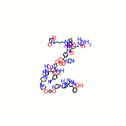 CC(C)C(C(=O)N1C[C@H](OC(=O)OC(C(=O)N2CCN(C)CC2)c2ccc(NC(=O)C(CCCNC(N)=O)NC(=O)C3(C(=O)NCCCCCN4C(=O)C=CC4=O)CCC3)cc2)CC1C(=O)N[C@@H](C)c1ccc(C#N)cc1)c1cc(N2CCC(CN3CCC(O[C@H]4C[C@H](Oc5cc(N6CC7CCCC6CN7c6cc(-c7ccccc7O)nnc6N)ccn5)C4)CC3)CC2)n[nH]1